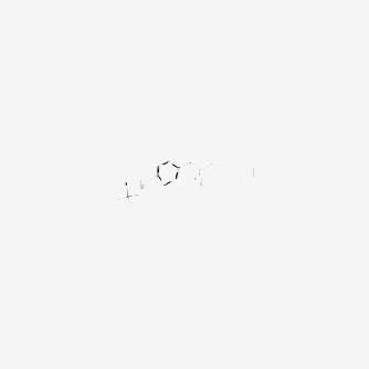 CC1(C)OB(c2ccc(CC(N)CC(=O)O)cc2)OC1(C)C